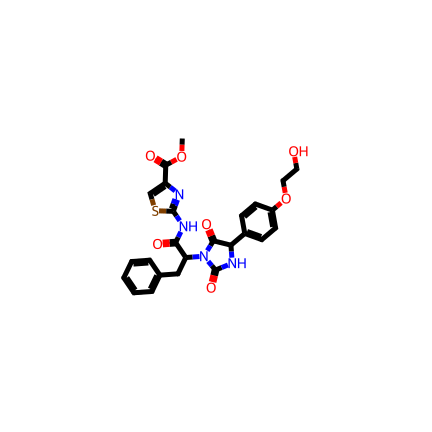 COC(=O)c1csc(NC(=O)C(Cc2ccccc2)N2C(=O)NC(c3ccc(OCCO)cc3)C2=O)n1